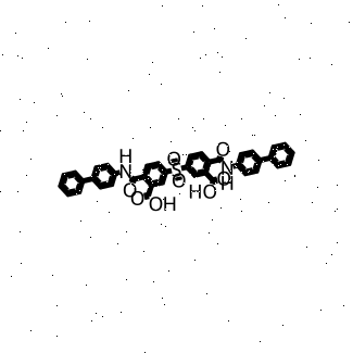 O=C(O)c1cc(S(=O)(=O)c2ccc(C(=O)Nc3ccc(-c4ccccc4)cc3)c(C(=O)O)c2)ccc1C(=O)Nc1ccc(-c2ccccc2)cc1